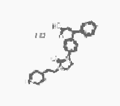 Cl.O=C(O)CC(c1ccccc1)c1ccc(N2CCN(CCC3CCNCC3)C2=O)cc1